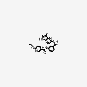 CCOc1ccc(C(=O)Nc2cccc([C@H](C)Nc3cnc4[nH]nc(C)c4n3)c2)cn1